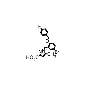 Cc1cc(C(=O)O)nn1Cc1cc(Br)ccc1OCc1ccc(F)cc1